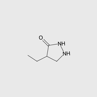 CCC1CNNC1=O